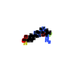 NC/C(=C\F)Cn1ncn(-c2cnc(-c3ccc(C[SH](=O)=O)cc3)cn2)c1=O